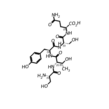 C[C@@H](O)[C@H](NC(=O)[C@@H](N)CO)C(=O)N[C@@H](Cc1ccc(O)cc1)C(=O)N[C@@H](CO)C(=O)N[C@@H](CCC(N)=O)C(=O)O